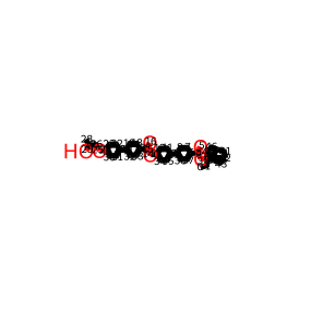 CCC1(OC(=O)c2ccc(-c3ccc(OC(=O)c4ccc(-c5ccc(OCC(C)O)cc5)cc4)cc3)cc2)C2CC3CC(C2)CC1C3